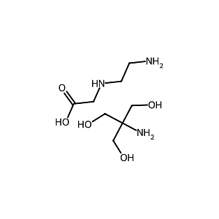 NC(CO)(CO)CO.NCCNCC(=O)O